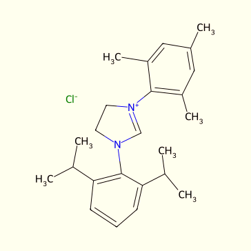 Cc1cc(C)c([N+]2=CN(c3c(C(C)C)cccc3C(C)C)CC2)c(C)c1.[Cl-]